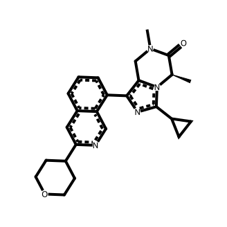 C[C@@H]1C(=O)N(C)Cc2c(-c3cccc4cc(C5CCOCC5)ncc34)nc(C3CC3)n21